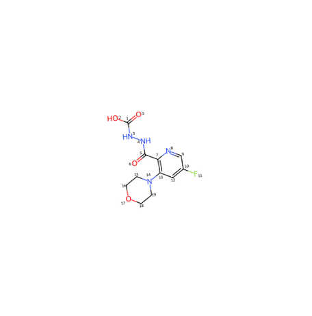 O=C(O)NNC(=O)c1ncc(F)cc1N1CCOCC1